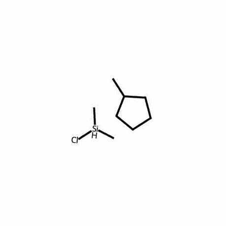 CC1CCCC1.C[SiH](C)Cl